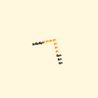 [Ge+4].[Ge+4].[Ge+4].[In+3].[In+3].[In+3].[P-3].[P-3].[P-3].[P-3].[P-3].[P-3].[P-3]